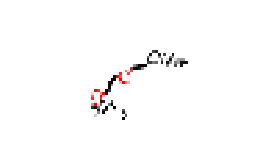 COCCO[CH]CO[SiH3]